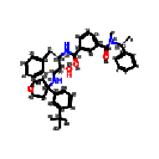 C[C@H](c1ccccc1)N(C)C(=O)c1cccc(C(=O)N[C@@H](Cc2ccccc2)[C@H](O)CNC2(c3cccc(C(C)(C)C)c3)CCOCC2)c1